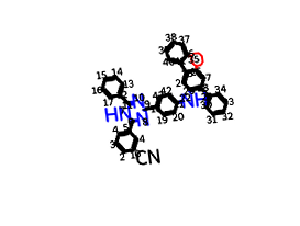 N#Cc1cccc(C(=N)/N=C(\N=C\c2ccccc2)c2ccc(Nc3cc4c(cc3-c3ccccc3)oc3ccccc34)cc2)c1